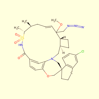 COC1(CN=[N+]=[N-])/C=C/C[C@H](C)[C@@H](C)S(=O)(=O)NC(=O)c2ccc3c(c2)N(C[C@@H]2CC[C@H]21)C[C@@]1(CCCc2cc(Cl)ccc21)CO3